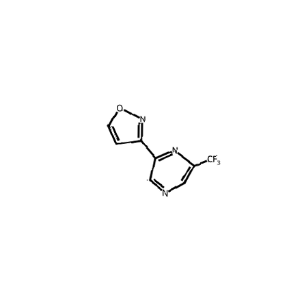 FC(F)(F)c1cn[c]c(-c2ccon2)n1